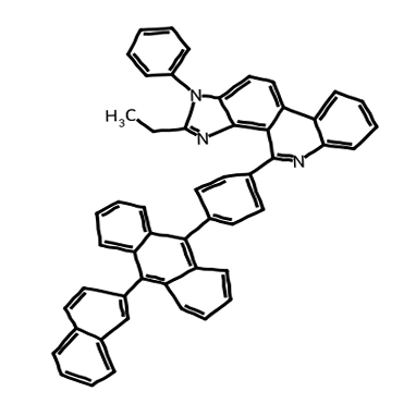 CCc1nc2c3c(-c4ccc(-c5c6ccccc6c(-c6ccc7ccccc7c6)c6ccccc56)cc4)nc4ccccc4c3ccc2n1-c1ccccc1